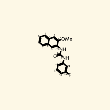 COc1cc2ccccc2cc1NC(=O)Nc1cccc(F)c1